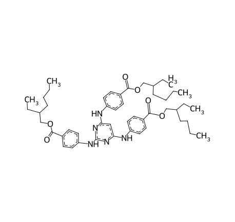 CCCCC(CC)COC(=O)c1ccc(Nc2cc(Nc3ccc(C(=O)OCC(CC)CCCC)cc3)nc(Nc3ccc(C(=O)OCC(CC)CCCC)cc3)n2)cc1